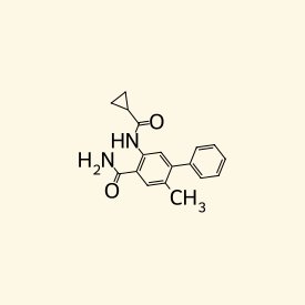 Cc1cc(C(N)=O)c(NC(=O)C2CC2)cc1-c1ccccc1